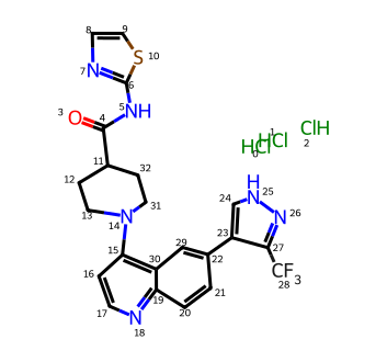 Cl.Cl.Cl.O=C(Nc1nccs1)C1CCN(c2ccnc3ccc(-c4c[nH]nc4C(F)(F)F)cc23)CC1